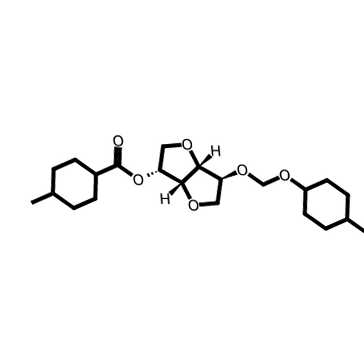 CC1CCC(OCO[C@H]2CO[C@H]3[C@@H]2OC[C@H]3OC(=O)C2CCC(C)CC2)CC1